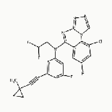 CC1(C#Cc2cc(F)cc(N(CC(F)F)c3nc4nncn4c4c(Cl)cc(F)cc34)c2)CC1